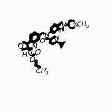 CCCCOC(=O)Nc1nc2cc(CN(C(=O)c3ccc(C4CC4)nc3)c3ccc4cn(C5CCN(C)CC5)nc4c3)ccc2c2c1COC2